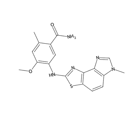 COc1cc(C)c(C(N)=O)cc1Nc1nc2c(ccc3c2ncn3C)s1